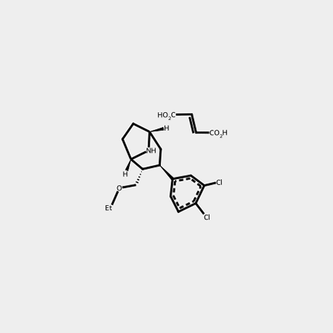 CCOC[C@@H]1[C@@H]2CC[C@H](C[C@H]1c1ccc(Cl)c(Cl)c1)N2.O=C(O)/C=C/C(=O)O